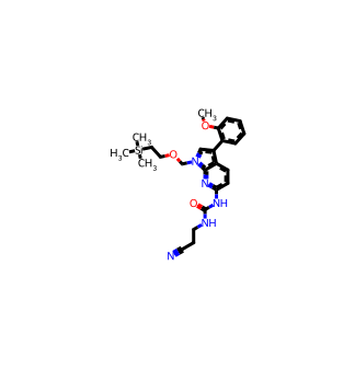 COc1ccccc1-c1cn(COCC[Si](C)(C)C)c2nc(NC(=O)NCCC#N)ccc12